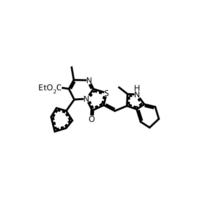 CCOC(=O)C1=C(C)N=c2s/c(=C\c3c(C)[nH]c4c3=CCCC=4)c(=O)n2C1c1ccccc1